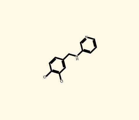 Clc1ccc(CNc2cccnc2)cc1Cl